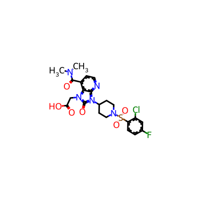 CN(C)C(=O)c1ccnc2c1n(CC(=O)O)c(=O)n2C1CCN(S(=O)(=O)c2ccc(F)cc2Cl)CC1